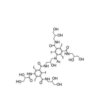 CC(=O)N(CC(O)CNC(=O)c1c(I)c(NC(=O)C(O)CO)c(I)c(C(=O)NCC(O)CO)c1I)c1c(I)c(C(=O)NCC(O)CO)c(I)c(C(=O)NCC(O)CO)c1I